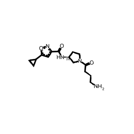 NCCCC(=O)N1CC[C@H](NC(=O)c2cc(C3CC3)on2)C1